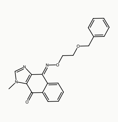 Cn1cnc2c1C(=O)c1ccccc1C2=NOCCOCc1ccccc1